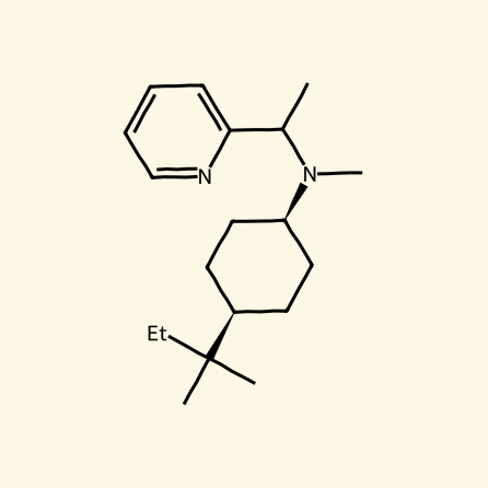 CCC(C)(C)[C@H]1CC[C@@H](N(C)C(C)c2ccccn2)CC1